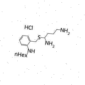 CCCCCCNc1ccccc1CSC(N)CCCN.Cl